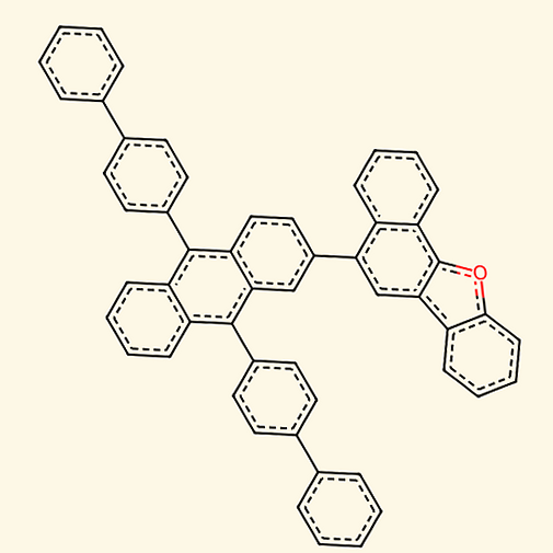 c1ccc(-c2ccc(-c3c4ccccc4c(-c4ccc(-c5ccccc5)cc4)c4cc(-c5cc6c7ccccc7oc6c6ccccc56)ccc34)cc2)cc1